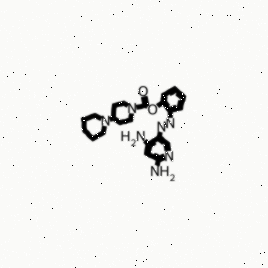 Nc1cc(N)c(/N=N/c2ccccc2OC(=O)N2CCC(N3CCCCC3)CC2)cn1